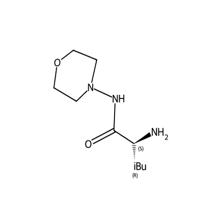 CC[C@@H](C)[C@H](N)C(=O)NN1CCOCC1